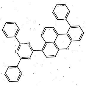 c1ccc(-c2nc(-c3ccccc3)nc(-c3ccc4c5c(cccc35)-c3c(cccc3-c3ccccc3)O4)n2)cc1